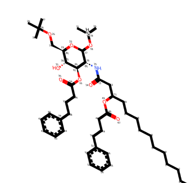 CCCCCCCCCCCC(CC(=O)N[C@H]1C(O[SiH](C)C)O[C@H](COC(C)(C)C)[C@@H](O)[C@@H]1OC(=O)CCCc1ccccc1)OC(=O)CCCc1ccccc1